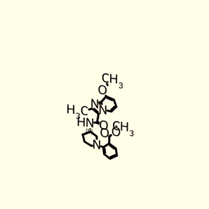 CCOc1cccn2c(C(=O)N[C@H]3CCCN(c4ccccc4C(=O)OC)C3)c(C)nc12